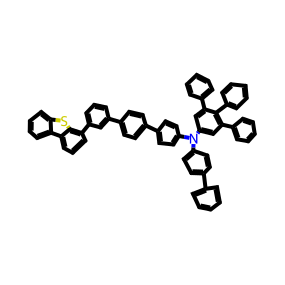 c1ccc(-c2ccc(N(c3ccc(-c4ccc(-c5cccc(-c6cccc7c6sc6ccccc67)c5)cc4)cc3)c3cc(-c4ccccc4)c(-c4ccccc4)c(-c4ccccc4)c3)cc2)cc1